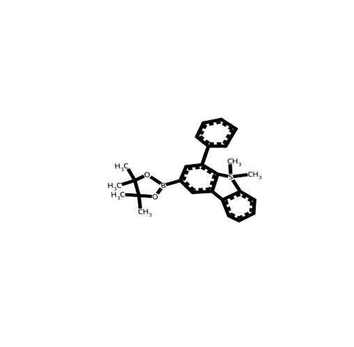 CC1(C)OB(c2cc(-c3ccccc3)c3c(c2)-c2ccccc2S3(C)C)OC1(C)C